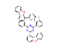 c1ccc(-c2nc(-c3cccc4oc5ccccc5c34)nc(-c3cccc4oc5ccc(-c6cccc7c6oc6ccccc67)cc5c34)n2)cc1